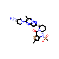 Cc1cc(NS(C)(=O)=O)c(C(=O)N2CCCC[C@H]2c2cc3nc(N4CC[C@H](N)C4)c(C)cn3n2)s1